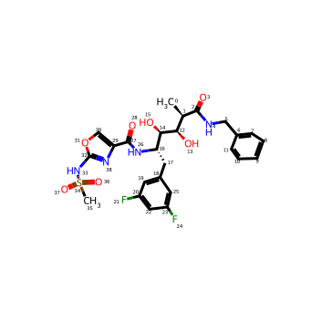 C[C@@H](C(=O)NCc1ccccc1)[C@@H](O)[C@H](O)[C@H](Cc1cc(F)cc(F)c1)NC(=O)c1coc(NS(C)(=O)=O)n1